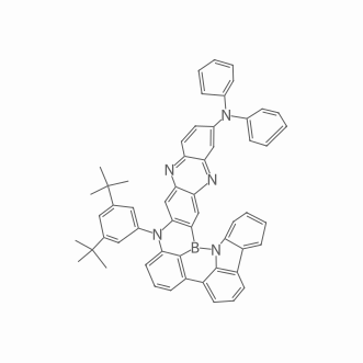 CC(C)(C)c1cc(N2c3cc4nc5ccc(N(c6ccccc6)c6ccccc6)cc5nc4cc3B3c4c(cccc42)-c2cccc4c5ccccc5n3c24)cc(C(C)(C)C)c1